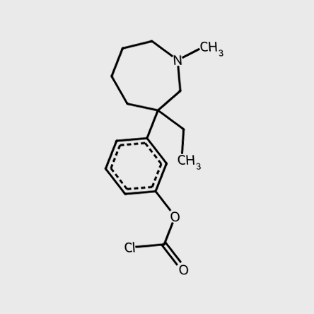 CCC1(c2cccc(OC(=O)Cl)c2)CCCCN(C)C1